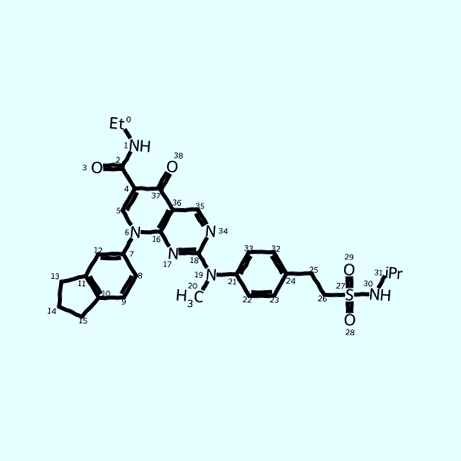 CCNC(=O)c1cn(-c2ccc3c(c2)CCC3)c2nc(N(C)c3ccc(CCS(=O)(=O)NC(C)C)cc3)ncc2c1=O